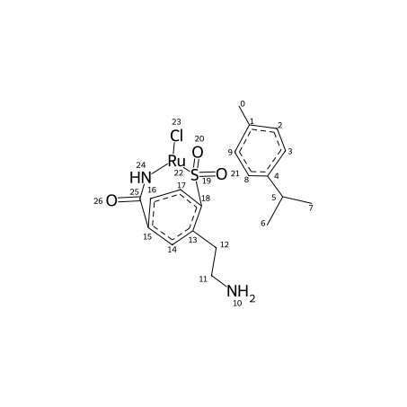 Cc1ccc(C(C)C)cc1.NCCc1cc2ccc1[S](=O)(=O)[Ru]([Cl])[NH]C2=O